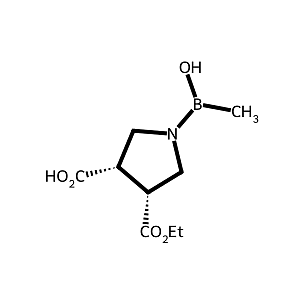 CCOC(=O)[C@H]1CN(B(C)O)C[C@H]1C(=O)O